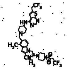 Cc1c(CN2CCC(Nc3ncnc4sc(CC(F)(F)F)cc34)CC2)ccc2c1cc(C#N)n2C[C@H](C)N1CCN(S(=O)(=O)CC(F)(F)F)CC1